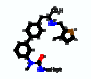 CCCCCCCNC(=O)N(C)c1cccc(-c2ccc(C[C@H](NCc3sccc3C)C(=O)O)cc2)c1